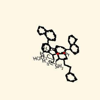 Cc1ccc(-c2cccc3ccccc23)c2c1[CH]([Zr]([CH3])([CH3])(=[SiH2])[CH]1C(C(C)C)=Cc3c(-c4cccc5ccccc45)cccc31)C(CCc1ccccc1)=C2.Cl.Cl